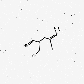 N=CN(CCl)C/C(I)=C\N